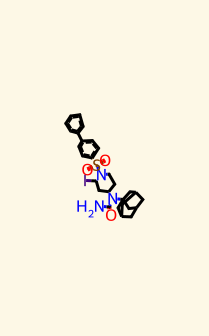 NC(=O)N(C1CCN(S(=O)(=O)c2ccc(-c3ccccc3)cc2)C(I)C1)C12CC3CC(CC(C3)C1)C2